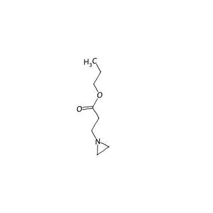 CCCOC(=O)CCN1CC1